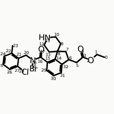 CCOC(=O)CC1CC2(CCNCC2)c2c(C(=O)N(Br)Cc3c(C)cccc3Cl)cccc21